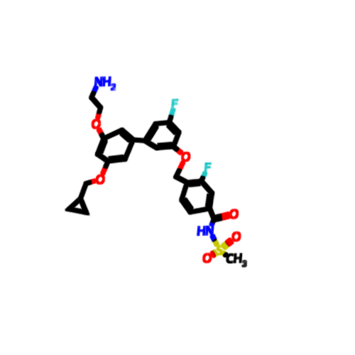 CS(=O)(=O)NC(=O)c1ccc(COc2cc(F)cc(-c3cc(OCCN)cc(OCC4CC4)c3)c2)c(F)c1